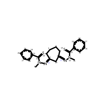 CN(/N=C1\CCCC/C(=N\N(C)C(=S)c2ccccc2)C1)C(=S)c1ccccc1